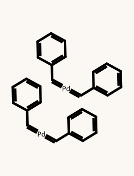 [CH](=[Pd]=[CH]c1ccccc1)c1ccccc1.[CH](=[Pd]=[CH]c1ccccc1)c1ccccc1